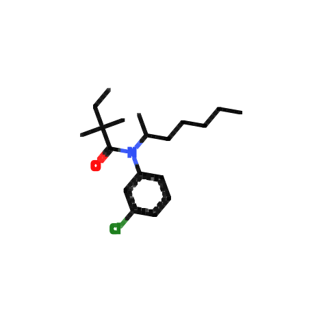 CCCCCC(C)N(C(=O)C(C)(C)CC)c1cccc(Cl)c1